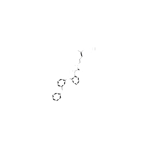 C/C(=C\CCOC(=O)Nc1ccccc1Sc1cccc(Sc2ccccc2)c1)C(=O)O